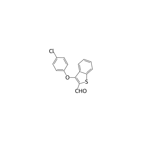 O=Cc1sc2ccccc2c1Oc1ccc(Cl)cc1